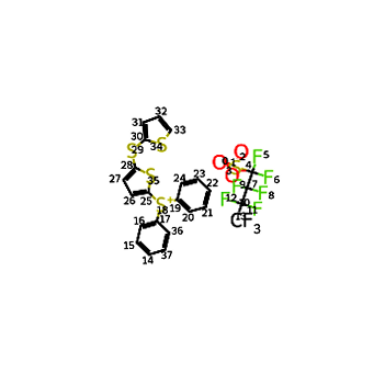 O=S(=O)([O-])C(F)(F)C(F)(F)C(F)(F)C(F)(F)F.c1ccc([S+](c2ccccc2)c2ccc(Sc3cccs3)s2)cc1